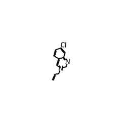 C=CCN1C=c2ccc(Cl)cc2=NC1